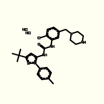 Cc1ccc(-n2nc(C(C)(C)C)cc2NC(=O)Nc2cc(CN3CCNCC3)ccc2Cl)cc1.Cl.Cl